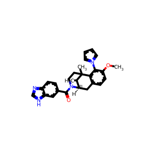 COc1ccc2c(c1-n1cccc1)C1(C)CCN(C(=O)c3ccc4nc[nH]c4c3)[C@H](C2)C1C